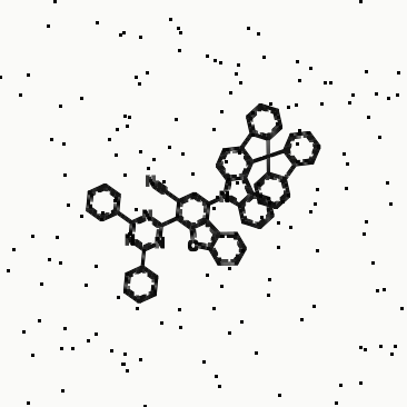 N#Cc1cc(-n2c3ccccc3c3c4c(ccc32)-c2ccccc2C42c3ccccc3-c3ccccc32)c2c(oc3ccccc32)c1-c1nc(-c2ccccc2)nc(-c2ccccc2)n1